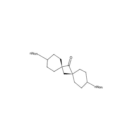 CCCCCCCCCC1CC[C@]2(CC1)C[C@@]1(CCC(CCCCCCCCC)CC1)C2=O